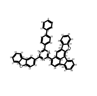 c1ccc(-c2ccc(-c3nc(-c4ccc5oc6ccccc6c5c4)nc(-c4ccc5c6c(c7oc8ccccc8c7cc46)-c4ccccc4-5)n3)cc2)cc1